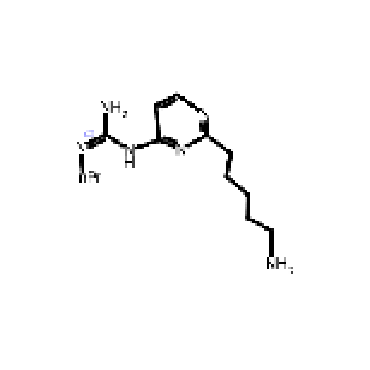 CCC/N=C(/N)Nc1ccnc(CCCCCN)n1